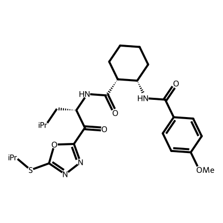 COc1ccc(C(=O)N[C@H]2CCCC[C@H]2C(=O)N[C@@H](CC(C)C)C(=O)c2nnc(SC(C)C)o2)cc1